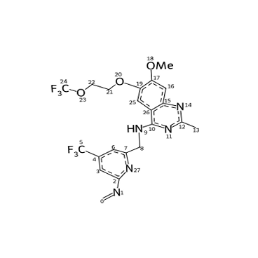 C=Nc1cc(C(F)(F)F)cc(CNc2nc(C)nc3cc(OC)c(OCCOC(F)(F)F)cc23)n1